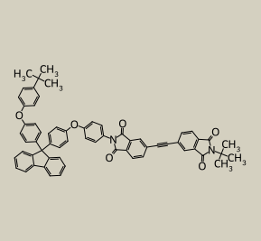 CC(C)(C)c1ccc(Oc2ccc(C3(c4ccc(Oc5ccc(N6C(=O)c7ccc(C#Cc8ccc9c(c8)C(=O)N(C(C)(C)C)C9=O)cc7C6=O)cc5)cc4)c4ccccc4-c4ccccc43)cc2)cc1